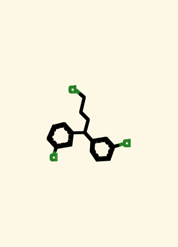 ClCCCC(c1cccc(Cl)c1)c1cccc(Cl)c1